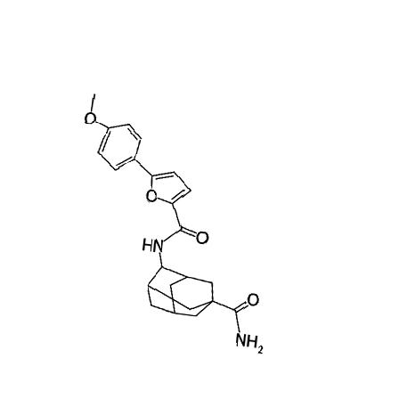 COc1ccc(-c2ccc(C(=O)NC3C4CC5CC3CC(C(N)=O)(C5)C4)o2)cc1